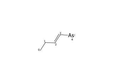 CCC=C[As]